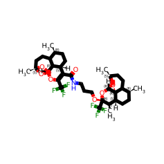 C[C@@H]1CC[C@H]2C(C(=O)NCCCO[C@@]3(C(F)(F)F)O[C@@H]4O[C@]5(C)CCC6[C@H](C)CC[C@@H]([C@H]3C)[C@]64OO5)=C(C(F)(F)F)O[C@@H]3O[C@]4(C)CCC1[C@]32OO4